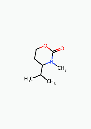 CC(C)C1CCOC(=O)N1C